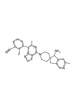 Cc1cc2c(cn1)CC1(CCN(c3nc(C)c(-c4cccc(C#N)c4F)n4nccc34)CC1)C2N